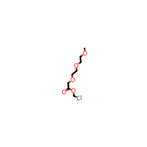 COCCOCCOCC(=O)OCCl